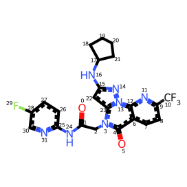 O=C(Cn1c(=O)c2ccc(C(F)(F)F)nc2n2nc(NC3CCCC3)cc12)Nc1ccc(F)cn1